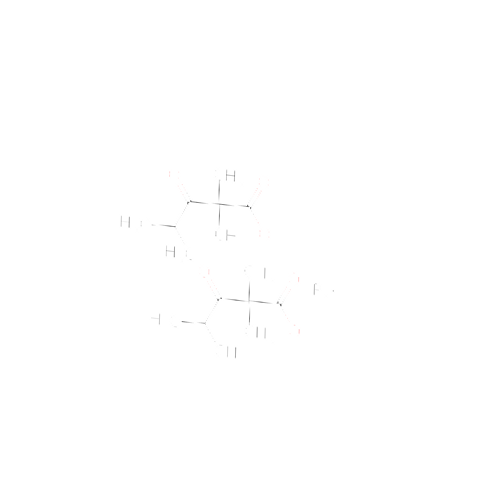 CC(C)C(=O)C(C)(C)C(=O)[O-].CC(C)C(=O)C(C)(C)C(=O)[O-].[Pt+2]